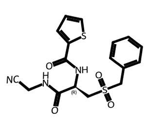 N#CCNC(=O)[C@H](CS(=O)(=O)Cc1ccccc1)NC(=O)c1cccs1